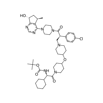 C[C@@H]1C[C@@H](O)c2ncnc(N3CCN(C(=O)[C@H](CN4CCC(OC5CCN(C(=O)[C@H](NC(=O)OC(C)(C)C)C6CCCCC6)CC5)CC4)c4ccc(Cl)cc4)CC3)c21